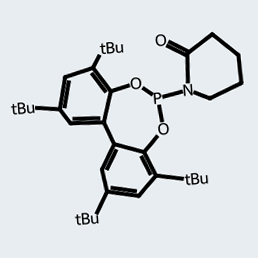 CC(C)(C)c1cc(C(C)(C)C)c2op(N3CCCCC3=O)oc3c(C(C)(C)C)cc(C(C)(C)C)cc3c2c1